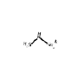 [B].[SiH3]N[SiH3]